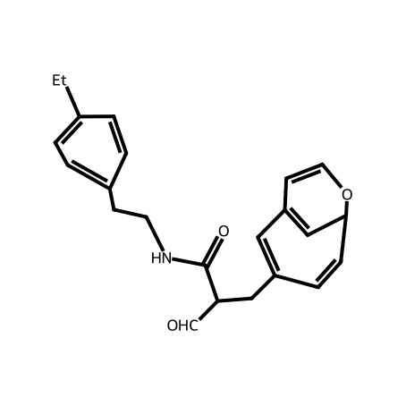 CCc1ccc(CCNC(=O)C(C=O)CC2=CC3=CC(C=C2)OC=C3)cc1